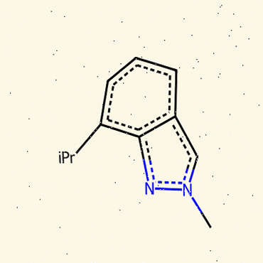 CC(C)c1cccc2cn(C)nc12